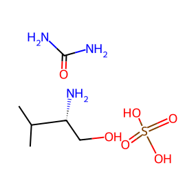 CC(C)[C@H](N)CO.NC(N)=O.O=S(=O)(O)O